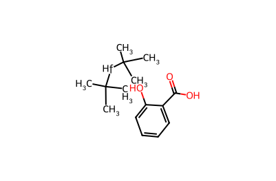 C[C](C)(C)[Hf][C](C)(C)C.O=C(O)c1ccccc1O